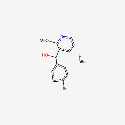 COc1ncccc1C(O)c1ccc(Br)cc1.[Li][CH2]CCC